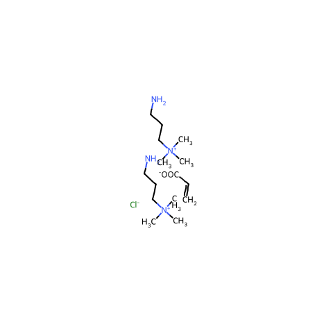 C=CC(=O)[O-].C[N+](C)(C)CCCN.C[N+](C)(C)CCCN.[Cl-]